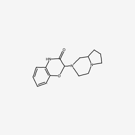 O=C1Nc2ccc[c]c2OC1N1CCN2CCCC2C1